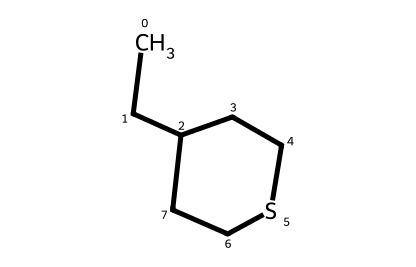 CCC1CCSCC1